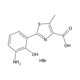 Br.Cc1sc(-c2cccc(N)c2O)nc1C(=O)O